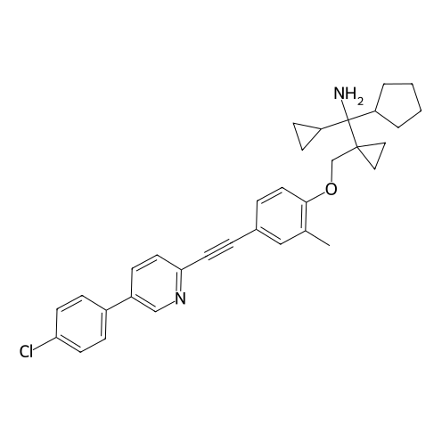 Cc1cc(C#Cc2ccc(-c3ccc(Cl)cc3)cn2)ccc1OCC1(C(N)(C2CCCC2)C2CC2)CC1